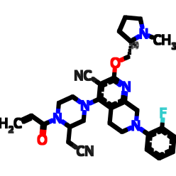 C=CC(=O)N1CCN(c2c(C#N)c(OC[C@@H]3CCCN3C)nc3c2CCN(c2ccccc2F)C3)CC1CC#N